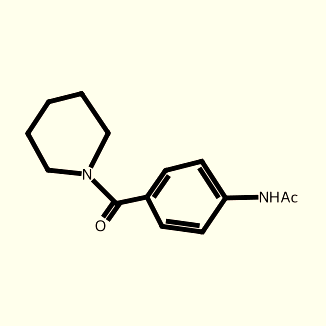 CC(=O)Nc1ccc(C(=O)N2CCCCC2)cc1